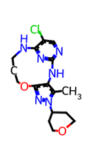 Cc1c2c(nn1C1CCOCC1)OCCCNc1nc(ncc1Cl)N2